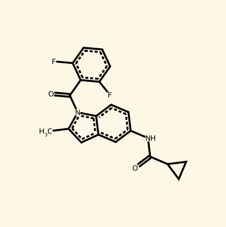 Cc1cc2cc(NC(=O)C3CC3)ccc2n1C(=O)c1c(F)cccc1F